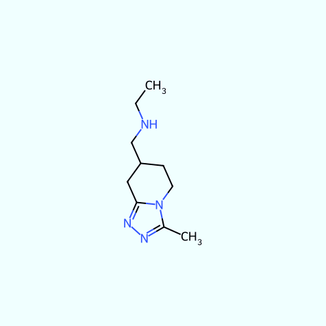 CCNCC1CCn2c(C)nnc2C1